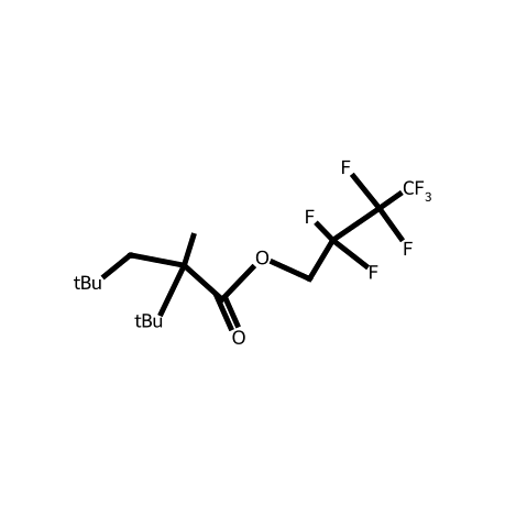 CC(C)(C)CC(C)(C(=O)OCC(F)(F)C(F)(F)C(F)(F)F)C(C)(C)C